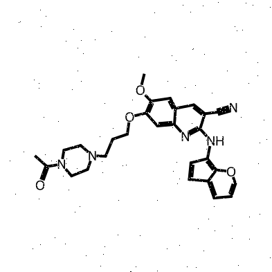 COc1cc2cc(C#N)c(Nc3ccc4cccoc3-4)nc2cc1OCCCN1CCN(C(C)=O)CC1